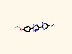 CCCOc1ccc(-c2ncc(-c3ncc(CCC)cn3)cn2)cc1